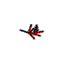 CCCCCCCCCCCC(OCCCCCCCCC)(OCCCCCCCCC)C(CCCCCCC)OCOCOC(CCCCCCC)C(CCCCCCCCCCC)(OCCCCCCCCC)OCCCCCCCCC